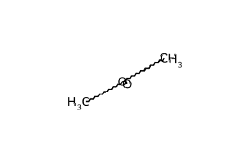 CCCCCCC=CCCCCCCCCCC(=O)OCCCCCCCCCCCCCCCC